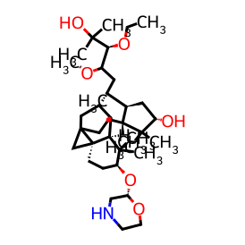 CCO[C@@H](C(C[C@@H](C)[C@H]1C[C@H](O)C(C)(C)[C@]1(C)CCC12CCC[C@H]3C(C)(C)[C@@H](O[C@H]4CNCCO4)CC[C@@]31C2)OC)C(C)(C)O